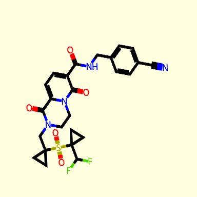 N#Cc1ccc(CNC(=O)c2ccc3n(c2=O)CCN(CC2(S(=O)(=O)C4(C(F)F)CC4)CC2)C3=O)cc1